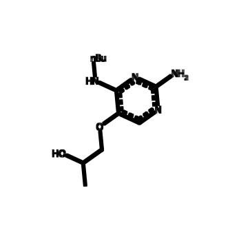 CCCCNc1nc(N)ncc1OCC(C)O